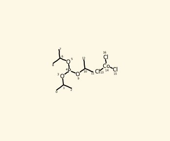 CC(C)OP(OC(C)C)OC(C)C.[Cl][Co]([Cl])[Cl]